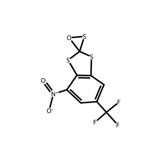 O=[N+]([O-])c1cc(C(F)(F)F)cc2c1SC1(OS1)S2